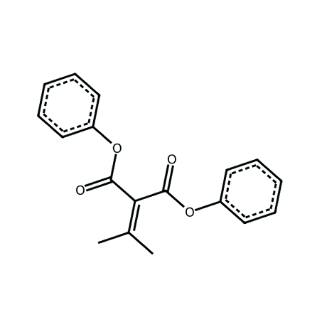 CC(C)=C(C(=O)Oc1ccccc1)C(=O)Oc1ccccc1